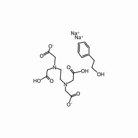 O=C([O-])CN(CCN(CC(=O)[O-])CC(=O)O)CC(=O)O.OCCc1ccccc1.[Na+].[Na+]